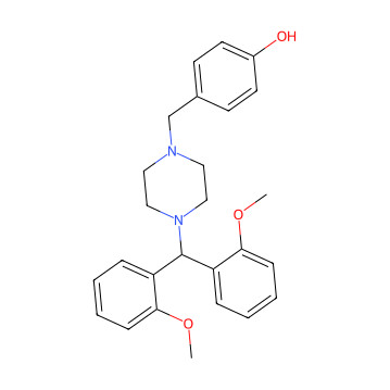 COc1ccccc1C(c1ccccc1OC)N1CCN(Cc2ccc(O)cc2)CC1